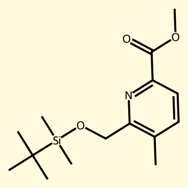 COC(=O)c1ccc(C)c(CO[Si](C)(C)C(C)(C)C)n1